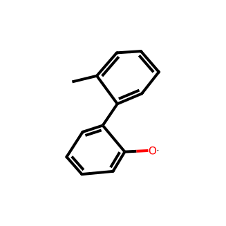 Cc1ccccc1-c1ccccc1[O]